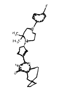 CC1(C)CN(c2ccc(F)cc2)CCN1[C@H]1C=C(c2nc3c(c(=O)[nH]2)CC2(CC3)CC2)CC1